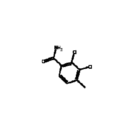 Cc1ccc(C(N)=O)c(Cl)c1Cl